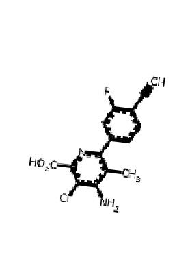 C#Cc1ccc(-c2nc(C(=O)O)c(Cl)c(N)c2C)cc1F